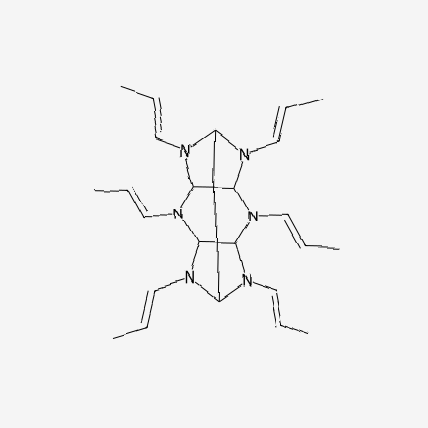 CC=CN1C2C3N(C=CC)C4C(N3C=CC)N(/C=C/C)C(C1N4/C=C/C)N2C=CC